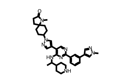 CC(Nc1nc(-c2cccc(-c3cnn(C)c3)c2)ncc1-c1cnn(C2CCC3(CCC(=O)N3C)CC2)c1)C1CCNCC1